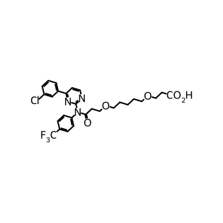 O=C(O)CCOCCCCCOCCC(=O)N(c1ccc(C(F)(F)F)cc1)c1nccc(-c2cccc(Cl)c2)n1